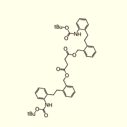 CC(C)(C)OC(=O)Nc1ccccc1CCc1ccccc1COC(=O)CCC(=O)OCc1ccccc1CCc1ccccc1NC(=O)OC(C)(C)C